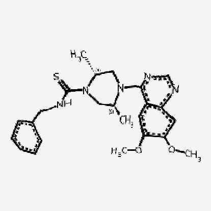 COc1cc2ncnc(N3C[C@@H](C)N(C(=S)NCc4ccccc4)C[C@@H]3C)c2cc1OC